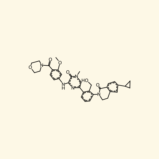 COc1cc(Nc2nc(-c3cccc(N4CCc5cc(C6CC6)ccc5C4=O)c3CO)cn(C)c2=O)ccc1C(=O)N1CCOCC1